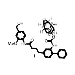 COc1cc(CO)ccc1NC(=O)CCCc1ccc(-c2ccccc2)c(NC(=O)O[C@@H]2C[C@@H]3[C@H]4O[C@H]4[C@H](C2)[N+]3(C)C)c1.[I-]